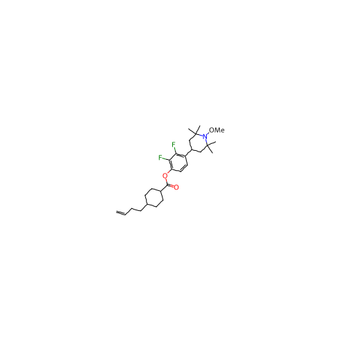 C=CCCC1CCC(C(=O)Oc2ccc(C3CC(C)(C)N(OC)C(C)(C)C3)c(F)c2F)CC1